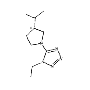 CCn1nnnc1N1CC[C@H](C(C)C)C1